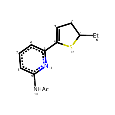 CCC1CC=C(c2cccc(NC(C)=O)n2)S1